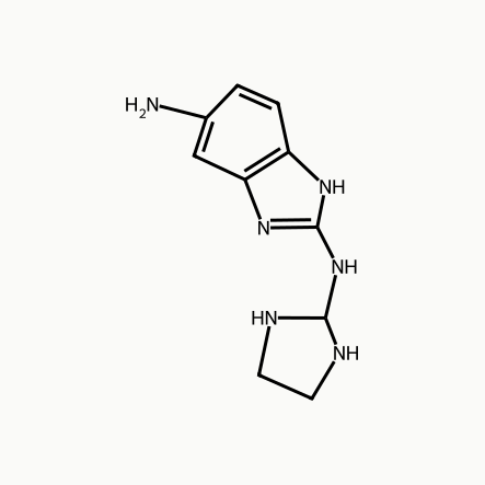 Nc1ccc2[nH]c(NC3NCCN3)nc2c1